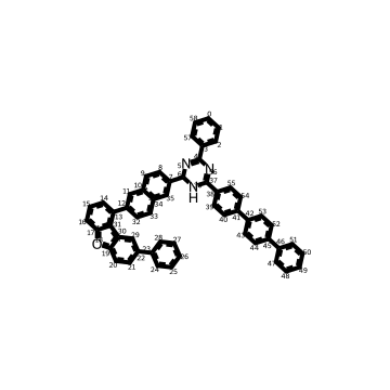 c1ccc(C2=NC(c3ccc4cc(-c5cccc6oc7ccc(-c8ccccc8)cc7c56)ccc4c3)NC(c3ccc(-c4ccc(-c5ccccc5)cc4)cc3)=N2)cc1